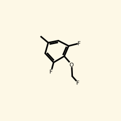 Cc1cc(F)c(OCF)c(F)c1